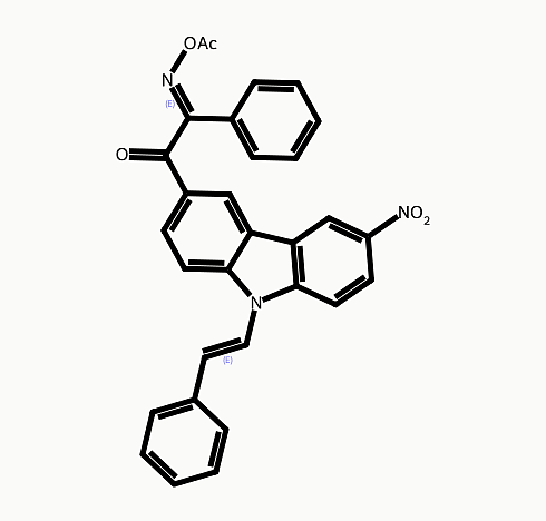 CC(=O)O/N=C(/C(=O)c1ccc2c(c1)c1cc([N+](=O)[O-])ccc1n2/C=C/c1ccccc1)c1ccccc1